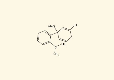 COC1(c2ccccc2N(C)C)C=C[CH]C(Cl)=C1